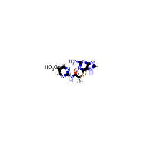 CC[C@@H](Sc1nc(N)nc2nc[nH]c12)C(=O)Nc1ncc(C(=O)O)cn1